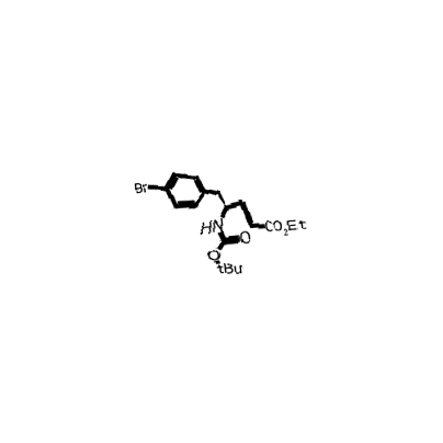 CCOC(=O)/C=C/[C@H](Cc1ccc(Br)cc1)NC(=O)OC(C)(C)C